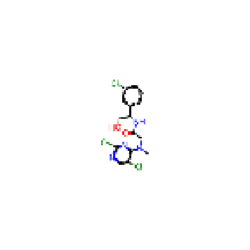 CN(CC(=O)NC(CO)c1cccc(Cl)c1)c1nc(Cl)ncc1Cl